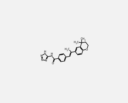 CC(=Cc1ccc(C(=O)Nc2nnn[nH]2)cc1)c1ccc2c(c1)C(C)(C)CCO2